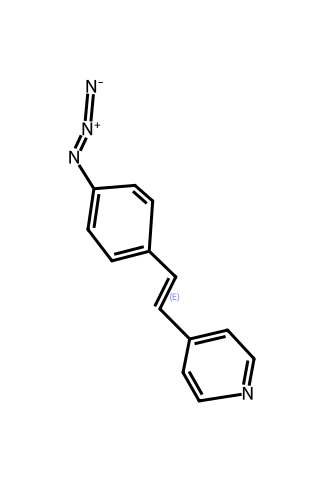 [N-]=[N+]=Nc1ccc(/C=C/c2ccncc2)cc1